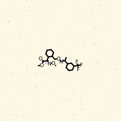 CO/N=C(/C(=O)OC)C1CCCCC1CO/N=C(\C)C1CCCC(C(F)(F)F)C1